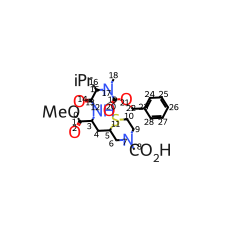 COC(=O)C(CC1CN(C(=O)O)CCS1)NC(=O)C(C(C)C)N(C)C(=O)OCc1ccccc1